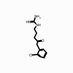 N=C(N)NCCCC(=O)Cc1ccccc1Cl